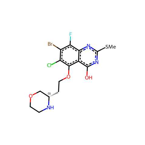 CSc1nc(O)c2c(OCC[C@H]3COCCN3)c(Cl)c(Br)c(F)c2n1